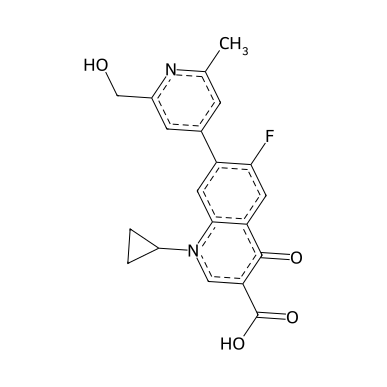 Cc1cc(-c2cc3c(cc2F)c(=O)c(C(=O)O)cn3C2CC2)cc(CO)n1